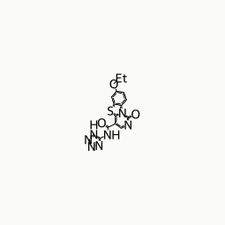 CCOc1ccc2c(c1)sc1c(C(=O)Nc3nnn[nH]3)cnc(=O)n12